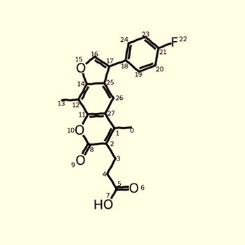 Cc1c(CCC(=O)O)c(=O)oc2c(C)c3occ(-c4ccc(F)cc4)c3cc12